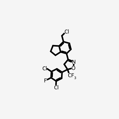 Fc1c(Cl)cc(C2(C(F)(F)F)CC(c3ccc(CCl)c4c3CCC4)=NO2)cc1Cl